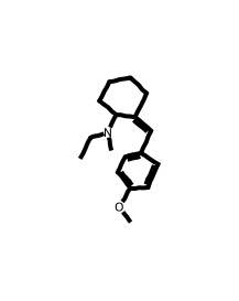 CCN(C)C1CCCC/C1=C/c1ccc(OC)cc1